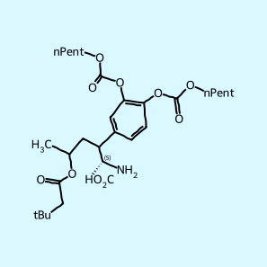 CCCCCOC(=O)Oc1ccc(C(CC(C)OC(=O)CC(C)(C)C)[C@H](N)C(=O)O)cc1OC(=O)OCCCCC